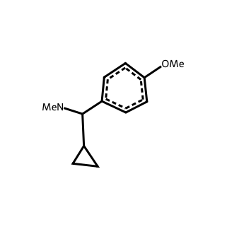 CNC(c1ccc(OC)cc1)C1CC1